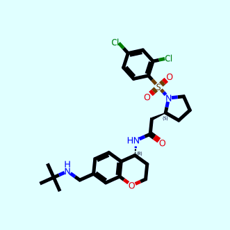 CC(C)(C)NCc1ccc2c(c1)OCC[C@H]2NC(=O)C[C@@H]1CCCN1S(=O)(=O)c1ccc(Cl)cc1Cl